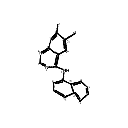 Cc1cc2ncnc(Nc3cccc4ccccc34)c2cc1C